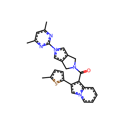 Cc1cc(C)nc(-n2cc3c(c2)CN(C(=O)c2c(-c4ccc(C)s4)cn4ccccc24)C3)n1